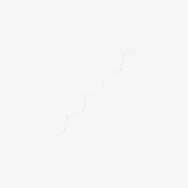 SCCCCOOCCS